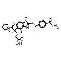 Cc1c([C@@](C)(NCC(=O)O)C(=O)[N+]2(C)CCCC2)ccc2[nH]c(CNc3ccc(C(=N)N)cc3)nc12